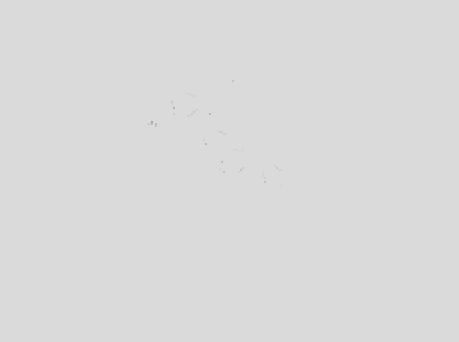 COc1cc(F)cc(N(CCNC(C)C)c2ccc3ncc(-c4cnn(CCCCCCC(=O)O)c4)nc3c2)c1